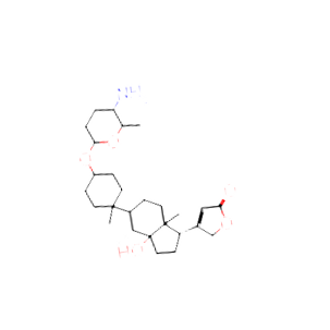 CC1OC(OC2CCC(C)(C3CCC4(C)[C@@H](C5=CC(=O)OC5)CC[C@]4(O)[C@@H]3C)CC2)CC[C@H]1N